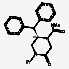 CNC(=O)N1CC(=O)N(C(C)C)C[C@@H]1C(c1ccccc1)c1ccccc1